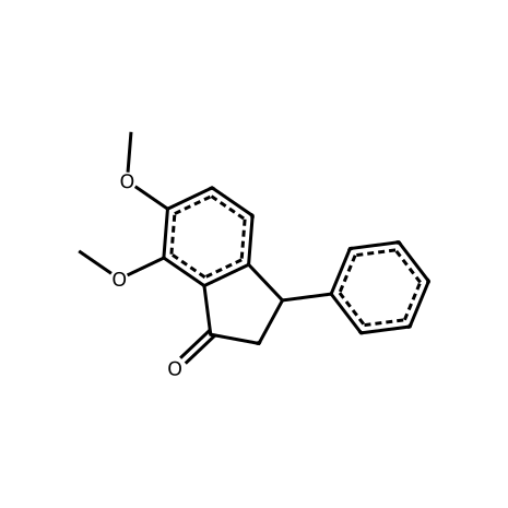 COc1ccc2c(c1OC)C(=O)CC2c1ccccc1